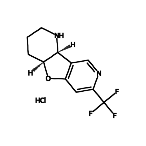 Cl.FC(F)(F)c1cc2c(cn1)[C@@H]1NCCC[C@@H]1O2